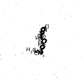 CN(C)Cc1nccn1-c1ccc(N2CCCC(NS(=O)(=O)c3cc4nc(Cl)ccc4s3)C2=O)c(F)c1